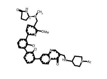 COc1nc(-c2cccc(-c3cccc(-c4ccn5c(=O)c(CNC6CCN(C(C)=O)CC6)cnc5c4)c3Cl)c2Cl)ccc1CN(C)[C@H]1CCC(=O)N1